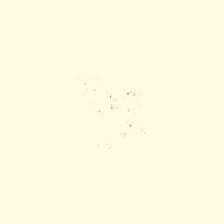 NC1CN(c2cncc(-c3ccc4[nH]nc(-c5nc6c(-c7cccc(F)c7)ccnc6[nH]5)c4c3)n2)C1